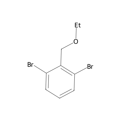 [CH2]COCc1c(Br)cccc1Br